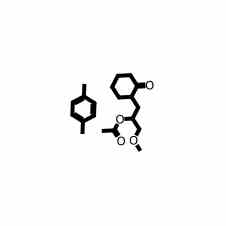 COCC(CC1CCCCC1=O)OC(C)=O.Cc1ccc(C)cc1